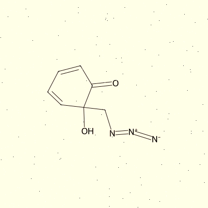 [N-]=[N+]=NCC1(O)C=CC=CC1=O